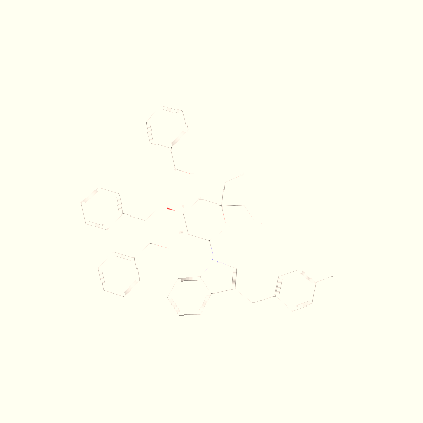 CCc1ccc(Cc2cn(C3OC(CO)(CO)[C@@H](OCc4ccccc4)[C@H](OCc4ccccc4)[C@H]3OCc3ccccc3)c3ccccc23)cc1